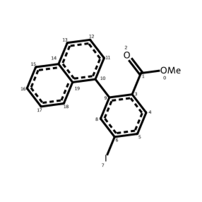 COC(=O)c1ccc(I)cc1-c1cccc2ccccc12